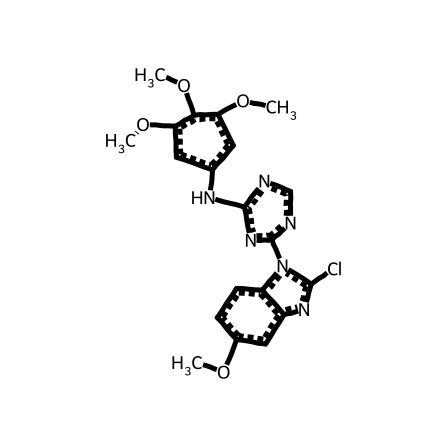 COc1ccc2c(c1)nc(Cl)n2-c1ncnc(Nc2cc(OC)c(OC)c(OC)c2)n1